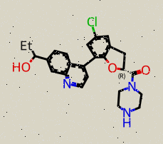 CCC(O)c1ccc2c(-c3cc(Cl)cc4c3O[C@@H](C(=O)N3CCNCC3)C4)ccnc2c1